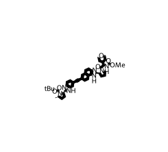 COC(=O)N[C@H](C(=O)N1CCC[C@H]1c1nc2ccc3cc(C#Cc4ccc5nc([C@@H]6CC[C@H](C)N6C(=O)OC(C)(C)C)[nH]c5c4)ccc3c2[nH]1)C1CCOCC1